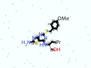 COc1ccc(CSc2nc(N[C@@H](CO)CC(C)C)c3sc(N)nc3n2)cc1